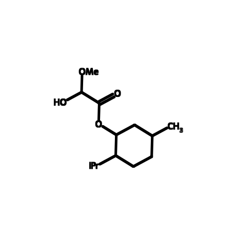 COC(O)C(=O)OC1CC(C)CCC1C(C)C